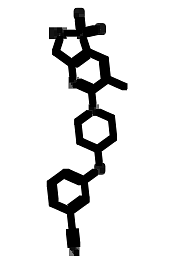 Cc1cc2c(nc1N1CCC(Oc3cccc(C#N)c3)CC1)CNS2(=O)=O